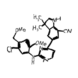 COCc1cc(OC)c(Nc2nccc(-c3cc(C#N)c4c(c3)C(C)(C)CN4)n2)cc1Cl